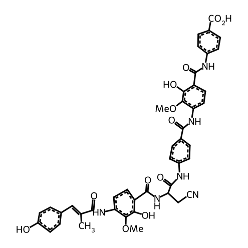 COc1c(NC(=O)/C(C)=C/c2ccc(O)cc2)ccc(C(=O)NC(CC#N)C(=O)Nc2ccc(C(=O)Nc3ccc(C(=O)Nc4ccc(C(=O)O)cc4)c(O)c3OC)cc2)c1O